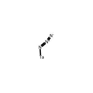 [N-]=[N+]=[N][Ta]